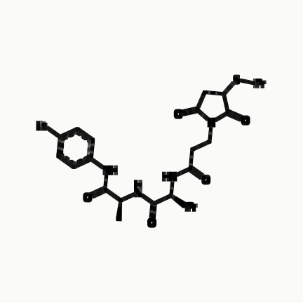 CCc1ccc(NC(=O)[C@H](C)NC(=O)[C@@H](NC(=O)CCN2C(=O)CC(SC(C)C)C2=O)C(C)C)cc1